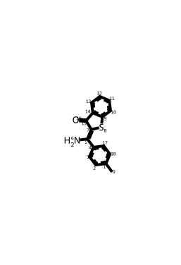 Cc1ccc(/C(N)=C2\Sc3ccccc3C2=O)cc1